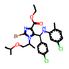 CCOC(=O)c1nc(Br)n(C(C)COC(C)C)c1C(Nc1cc(Cl)ccc1C)c1ccc(Cl)cc1